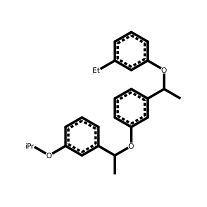 CCc1cccc(OC(C)c2cccc(OC(C)c3cccc(OC(C)C)c3)c2)c1